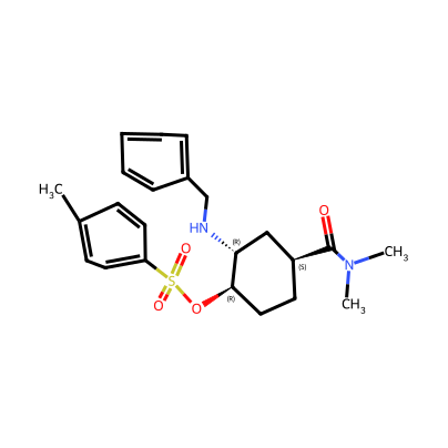 Cc1ccc(S(=O)(=O)O[C@@H]2CC[C@H](C(=O)N(C)C)C[C@H]2NCc2ccccc2)cc1